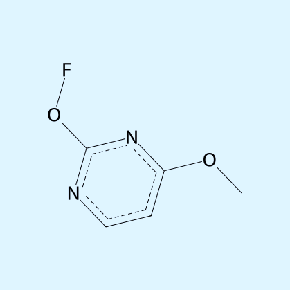 COc1ccnc(OF)n1